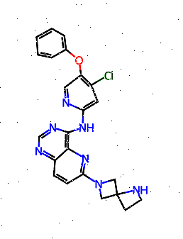 Clc1cc(Nc2ncnc3ccc(N4CC5(CCN5)C4)nc23)ncc1Oc1ccccc1